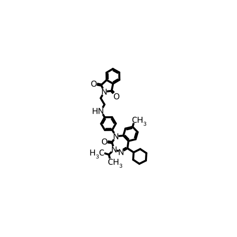 Cc1ccc2c(c1)N(c1ccc(NCCN3C(=O)c4ccccc4C3=O)cc1)C(=O)N(C(C)C)N=C2C1CCCCC1